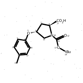 Cc1ccc(O[C@@H]2C[C@@H](C(=O)O)N(C(=O)OC(C)(C)C)C2)cc1